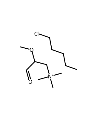 CCCCCCl.COC(C=O)C[N+](C)(C)C